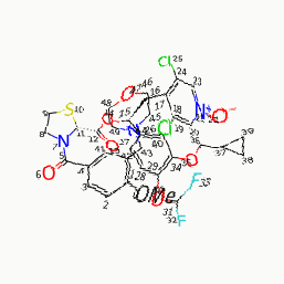 COc1ccc(C(=O)N2CCS[C@@H]2C(=O)O[C@@H](Cc2c(Cl)c[n+]([O-])cc2Cl)c2ccc(OC(F)F)c(OCC3CC3)c2)cc1CN1CCOCC1